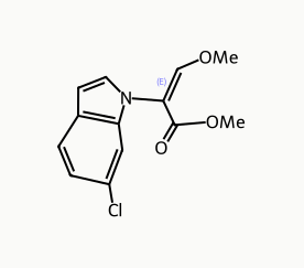 CO/C=C(\C(=O)OC)n1ccc2ccc(Cl)cc21